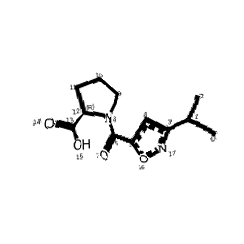 CC(C)c1cc(C(=O)N2CCC[C@@H]2C(=O)O)on1